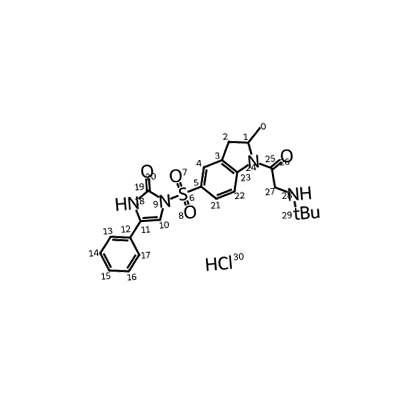 CC1Cc2cc(S(=O)(=O)n3cc(-c4ccccc4)[nH]c3=O)ccc2N1C(=O)CNC(C)(C)C.Cl